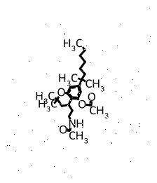 CCCCCCC(C)(C)c1cc(OC(C)=O)c2c(c1)OC(C)(C)CC2CCNC(C)=O